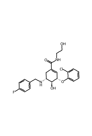 O=C(NCCO)C1=C[C@H](Oc2ccccc2Cl)[C@@H](O)[C@H](NCc2ccc(F)cc2)C1